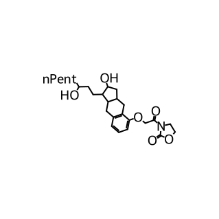 CCCCCC(O)CCC1C(O)CC2Cc3c(cccc3OCC(=O)N3CCOC3=O)CC21